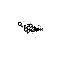 C[C@@H]1N=C(c2nc(OCc3ccccc3)ccc2F)c2c(ccc(C(F)(F)F)c2Cl)-n2cc(C(=O)NC3CC3)nc21